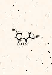 CC(C)CC(N)C(=O)N1C[C@H](O)C[C@H]1C(=O)O